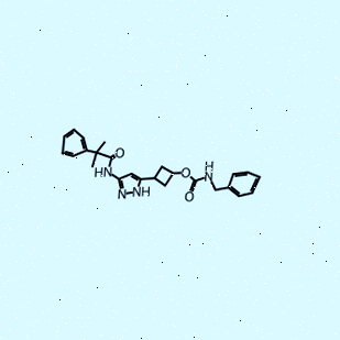 CC(C)(C(=O)Nc1cc(C2CC(OC(=O)NCc3ccccc3)C2)[nH]n1)c1ccccc1